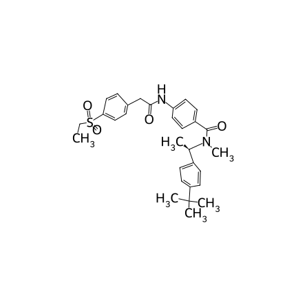 CCS(=O)(=O)c1ccc(CC(=O)Nc2ccc(C(=O)N(C)[C@H](C)c3ccc(C(C)(C)C)cc3)cc2)cc1